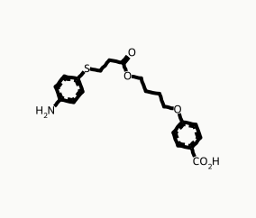 Nc1ccc(SCCC(=O)OCCCCOc2ccc(C(=O)O)cc2)cc1